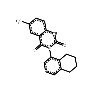 O=c1[nH]c2ccc(C(F)(F)F)cc2c(=O)n1-c1cncc2c1CCCC2